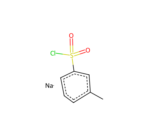 Cc1cccc(S(=O)(=O)Cl)c1.[Na]